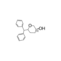 O[C@H]1CCC(C(c2ccccc2)c2ccccc2)OC1